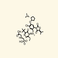 CC(C)=C1OC(=O)N(c2cc(OC3CCCC3)c(Cl)cc2F)C1=O.CSc1nnc(C(C)(C)C)c(=O)n1N.C[S+](C)C.O=C(O)CNCP(=O)([O-])O